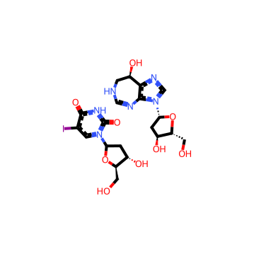 O=c1[nH]c(=O)n(C2C[C@H](O)[C@@H](CO)O2)cc1I.OC[C@H]1O[C@@H](n2cnc3c2N=CNC[C@H]3O)C[C@@H]1O